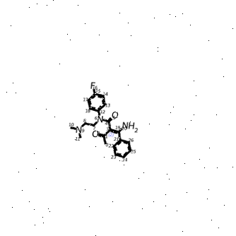 CC(=O)/C(C(=O)N(CCN(C)C)c1ccc(F)cc1)=C(/N)c1ccccc1